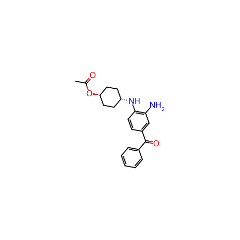 CC(=O)O[C@H]1CC[C@H](Nc2ccc(C(=O)c3ccccc3)cc2N)CC1